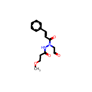 COCCC(=O)NN(C[C]=O)C(=O)C=Cc1ccccc1